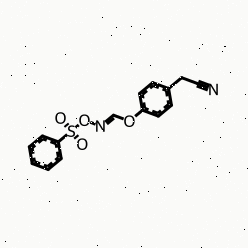 N#CCc1ccc(OC=NOS(=O)(=O)c2ccccc2)cc1